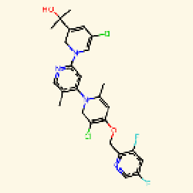 CC1=CC(OCc2ncc(F)cc2F)=C(Cl)CN1c1cc(N2C=C(Cl)C=C(C(C)(C)O)C2)ncc1C